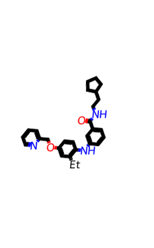 CCc1cc(OCc2ccccn2)ccc1Nc1cccc(C(=O)NCCC2CCCC2)c1